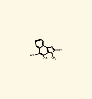 CC(=O)Oc1c(OC(C)=O)c2c(nc(C(C)C)n2C)c2ccccc12